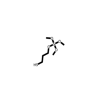 CO[Si](OC)(OC)OCCCS